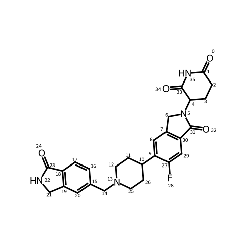 O=C1CCC(N2Cc3cc(C4CCN(Cc5ccc6c(c5)CNC6=O)CC4)c(F)cc3C2=O)C(=O)N1